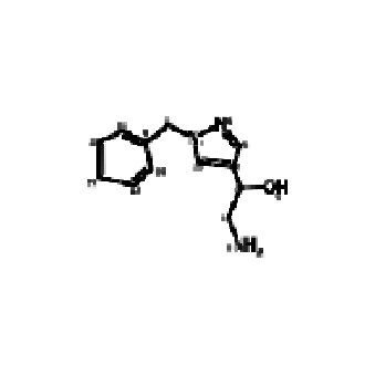 NCC(O)c1cnn(Cc2ccccc2)c1